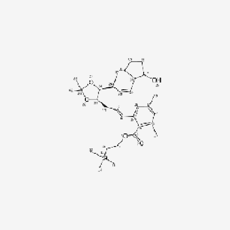 Cc1cc(C)c(C(=O)OCC[Si](C)(C)C)c(/C=C/C[C@H]2OC(C)(C)O[C@H]2C(C)/C=C\C2CCCC2O)c1